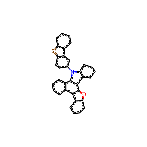 c1ccc2c(c1)oc1c2c2ccccc2c2c1c1ccccc1n2-c1ccc2sc3ccccc3c2c1